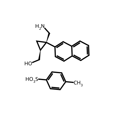 Cc1ccc(S(=O)(=O)O)cc1.NC[C@]1(c2ccc3ccccc3c2)C[C@@H]1CO